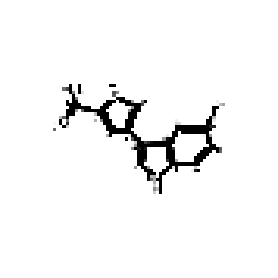 CCC(=O)c1cc(-c2c[nH]c3ccc(F)cc23)cs1